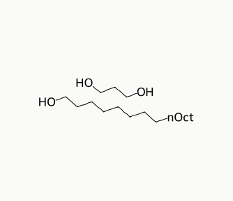 CCCCCCCCCCCCCCCCO.OCCCO